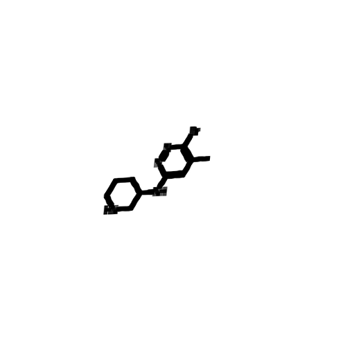 Cc1cc(N[C@@H]2CCCNC2)nnc1Br